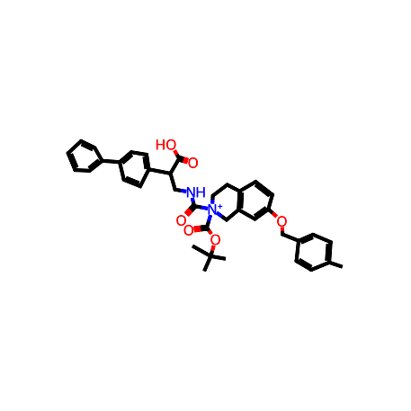 Cc1ccc(COc2ccc3c(c2)C[N+](C(=O)NCC(C(=O)O)c2ccc(-c4ccccc4)cc2)(C(=O)OC(C)(C)C)CC3)cc1